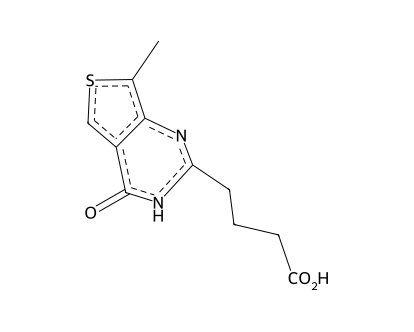 Cc1scc2c(=O)[nH]c(CCCC(=O)O)nc12